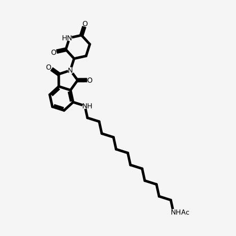 CC(=O)NCCCCCCCCCCCCNc1cccc2c1C(=O)N(C1CCC(=O)NC1=O)C2=O